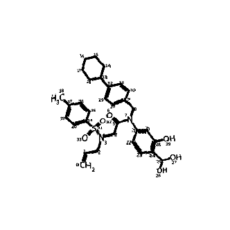 C=CCN(CC(=O)N(Cc1ccc(C2CCCCC2)cc1)c1ccc(C(O)O)c(O)c1)S(=O)(=O)c1ccc(C)cc1